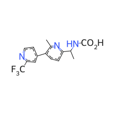 Cc1nc(C(C)NC(=O)O)ccc1-c1ccnc(C(F)(F)F)c1